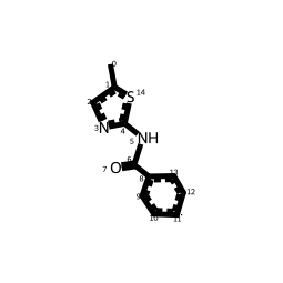 Cc1cnc(NC(=O)c2cc[c]cc2)s1